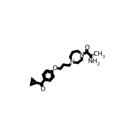 C[C@H](N)C(=O)N1CCCN(CCCOc2ccc(C(=O)C3CC3)cc2)CC1